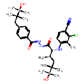 Cc1c(N[C@@H](C(=O)NNC(=O)c2ccc(CC(C)(C)[Si](C)(C)O)cc2)[C@H](C)CC(C)(C)[Si](C)(C)O)ccc(C#N)c1Cl